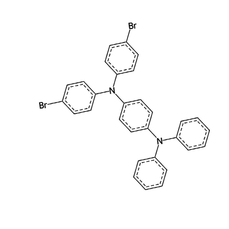 Brc1ccc(N(c2ccc(Br)cc2)c2ccc(N(c3ccccc3)c3ccccc3)cc2)cc1